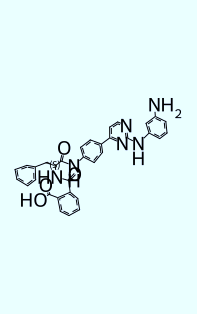 Nc1cccc(Nc2nccc(-c3ccc(NC(=O)[C@H](Cc4ccccc4)NC(=O)c4ccccc4C(=O)O)cc3)n2)c1